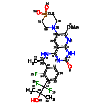 COc1nc2[nH]c(=O)nc(N[C@H](C)c3cccc(C(F)(F)C(C)(C)O)c3F)c2cc1N1CCS(=O)(=O)CC1